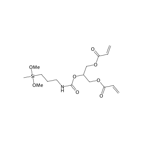 C=CC(=O)OCC(COC(=O)C=C)OC(=O)NCCC[Si](C)(OC)OC